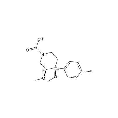 CO[C@H]1CN(C(=O)O)CC[C@]1(OC)c1ccc(F)cc1